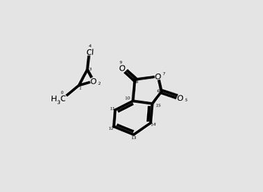 CC1OC1Cl.O=C1OC(=O)c2ccccc21